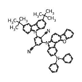 CC(C)(C)c1ccc2c(c1)c1cc(C(C)(C)C)ccc1n2-c1cc(C#N)cc(-n2c3ccc(N(c4ccccc4)c4ccccc4)cc3c3c4oc5ccccc5c4ccc32)c1C#N